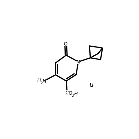 Nc1cc(=O)n(C23CC(C2)C3)cc1C(=O)O.[Li]